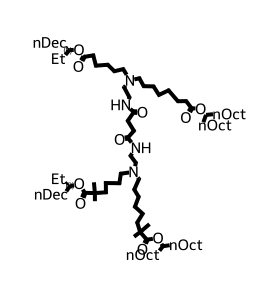 CCCCCCCCCC[C@@H](CC)OC(=O)CCCCCN(CCCCCCCC(=O)OC(CCCCCCCC)CCCCCCCC)CCNC(=O)CCC(=O)NCCN(CCCCCCC(C)(C)C(=O)OC(CCCCCCCC)CCCCCCCC)CCCCC(C)(C)C(=O)O[C@H](CC)CCCCCCCCCC